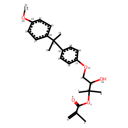 C=C(C)C(=O)OC(C)(C)C(O)COc1ccc(C(C)(C)c2ccc(OCC)cc2)cc1